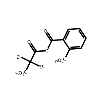 CCC(CC)(C(=O)O)C(=O)OC(=O)c1ccccc1C(=O)O